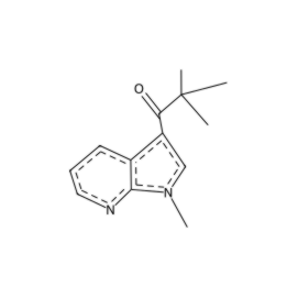 Cn1cc(C(=O)C(C)(C)C)c2cccnc21